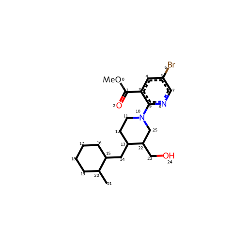 COC(=O)c1cc(Br)cnc1N1CCC(CC2CCCCC2C)C(CO)C1